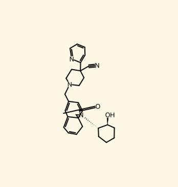 N#CC1(c2ccccn2)CCN(CC2=CC3=CC=CCC34CN([C@H]3CCCC[C@@H]3O)C(=O)C4=C2)CC1